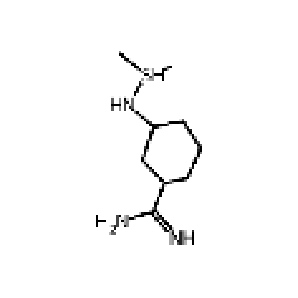 C[SH](C)NC1CCCC(C(=N)N)C1